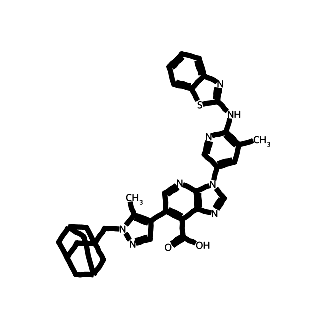 Cc1cc(-n2cnc3c(C(=O)O)c(-c4cnn(CC56CC7CC(CC(C7)C5)C6)c4C)cnc32)cnc1Nc1nc2ccccc2s1